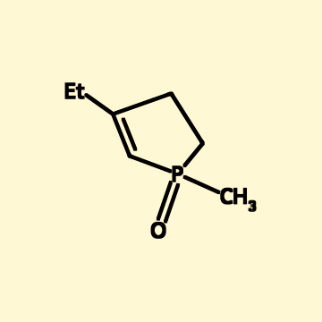 CCC1=CP(C)(=O)CC1